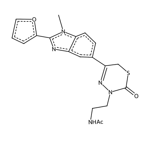 CC(=O)NCCN1N=C(c2ccc3c(c2)nc(-c2ccco2)n3C)CSC1=O